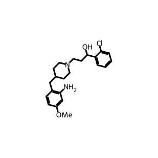 COc1ccc(CC2CCN(CCC(O)c3ccccc3Cl)CC2)c(N)c1